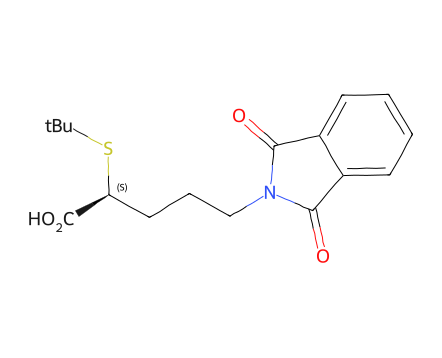 CC(C)(C)S[C@@H](CCCN1C(=O)c2ccccc2C1=O)C(=O)O